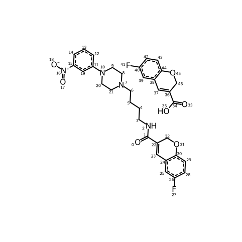 O=C(NCCCCN1CCN(c2cccc([N+](=O)[O-])c2)CC1)C1=Cc2cc(F)ccc2OC1.O=C(O)C1=Cc2cc(F)ccc2OC1